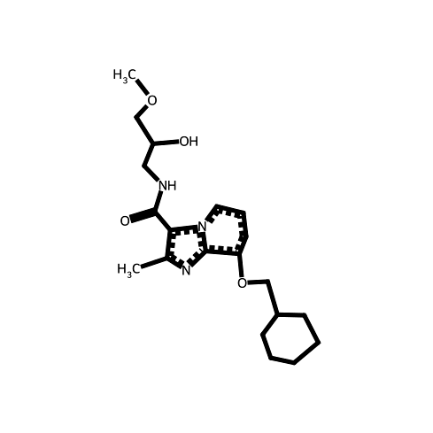 COCC(O)CNC(=O)c1c(C)nc2c(OCC3CCCCC3)cccn12